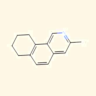 CC(C)c1cc2ccc3c(c2cn1)CCCC3